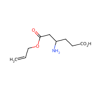 C=CCOC(=O)CC(N)CCC(=O)O